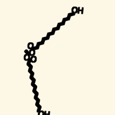 CC(OC(=O)CCCCCCCCCCCCCCCO)OC(=O)CCCCCCCCCCCCCCCO